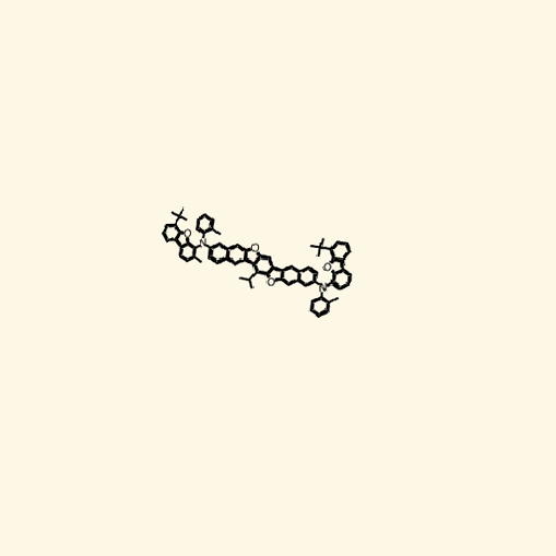 Cc1ccccc1N(c1ccc2cc3c(cc2c1)oc1c(C(C)C)c2c(cc13)oc1cc3cc(N(c4ccccc4C)c4c(C)ccc5c4oc4c(C(C)(C)C)cccc45)ccc3cc12)c1cccc2c1oc1c(C(C)(C)C)cccc12